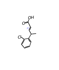 CC(/C=C/C(=O)O)c1ccccc1Cl